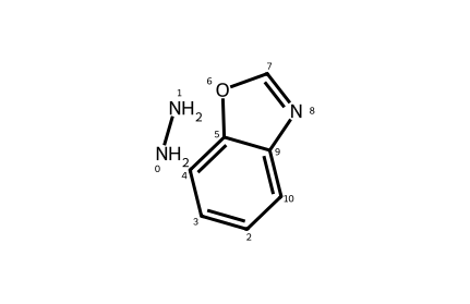 NN.c1ccc2ocnc2c1